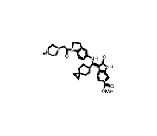 COC(=O)c1ccc2c(c1)NC(=O)/C2=C(\Nc1ccc2c(c1)CCN2C(=O)CN1CCN(C)CC1)C1CCC2(CC1)CC2